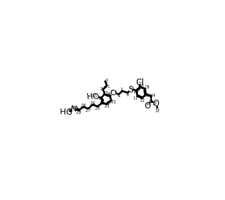 CCCc1c(OCCCSc2ccc(CC(=O)OC)cc2Cl)ccc(CCCCC=NO)c1O